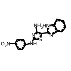 Nc1nc(Nc2ccc([N+](=O)[O-])cc2)sc1-c1nc2ccccc2[nH]1